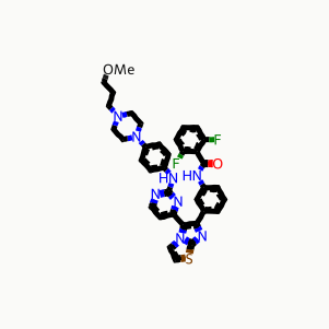 COCCCN1CCN(c2ccc(Nc3nccc(-c4c(-c5cccc(NC(=O)c6c(F)cccc6F)c5)nc5sccn45)n3)cc2)CC1